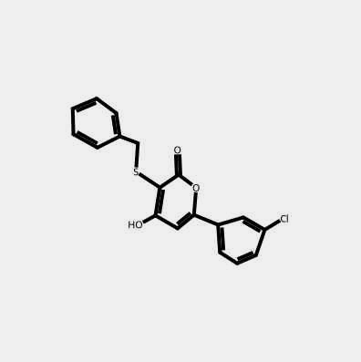 O=c1oc(-c2cccc(Cl)c2)cc(O)c1SCc1ccccc1